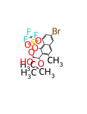 Cc1cc2cc(Br)ccc2c(OS(=O)(=O)C(F)(F)F)c1C(OC(C)(C)C)C(=O)O